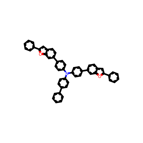 c1ccc(-c2ccc(N(c3ccc(-c4ccc5cc(-c6ccccc6)oc5c4)cc3)c3ccc(-c4ccc5cc(-c6ccccc6)oc5c4)cc3)cc2)cc1